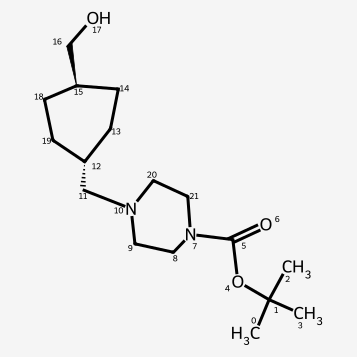 CC(C)(C)OC(=O)N1CCN(C[C@H]2CC[C@H](CO)CC2)CC1